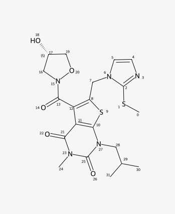 CSc1nccn1Cc1sc2c(c1C(=O)N1C[C@H](O)CO1)c(=O)n(C)c(=O)n2CC(C)C